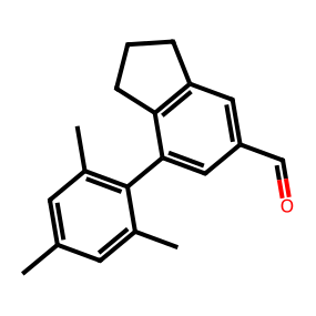 Cc1cc(C)c(-c2cc(C=O)cc3c2CCC3)c(C)c1